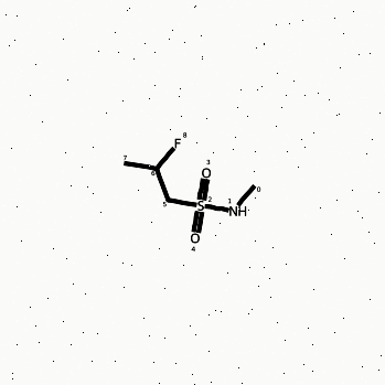 CNS(=O)(=O)CC(C)F